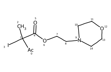 CC(=O)C(C)(I)C(=O)OCCN1CCOCC1